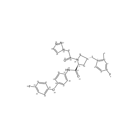 Cc1cc(F)ccc1C[C@@H]1C[C@@H](C(=O)Nc2ccc(Oc3ccc(F)cc3)cc2)N(C(=O)Cn2ccnn2)C1